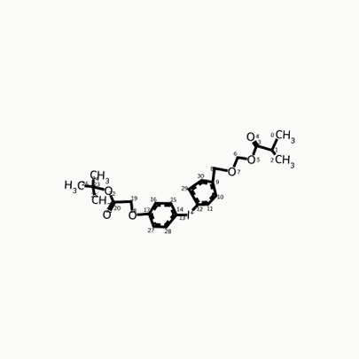 CC(C)C(=O)OCOCc1ccc([I+]c2ccc(OCC(=O)OC(C)(C)C)cc2)cc1